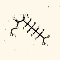 C=C(C(=O)OCC)C(F)(F)C(F)(F)C(F)(F)C(F)(F)C(C)F